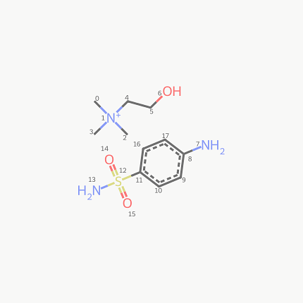 C[N+](C)(C)CCO.Nc1ccc(S(N)(=O)=O)cc1